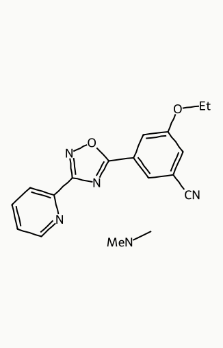 CCOc1cc(C#N)cc(-c2nc(-c3ccccn3)no2)c1.CNC